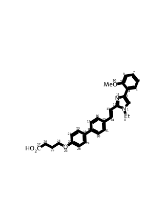 CCn1cc(-c2ccccc2OC)nc1/C=C/c1ccc(-c2ccc(OCCCC(=O)O)cc2)cc1